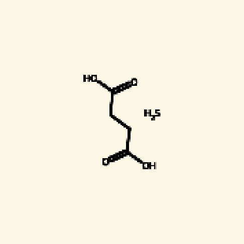 O=C(O)CCC(=O)O.S